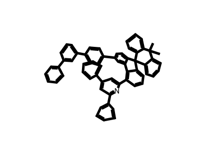 CC1(C)c2ccccc2C2(c3ccc(-c4ccc(-c5cccc(-c6ccccc6)c5)cc4)cc3-c3c(-c4cc(-c5ccccc5)cc(-c5ccccc5)n4)cccc32)c2ccccc21